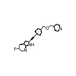 FC1C=c2cc(C#Cc3ccc(COCc4ccncc4)cc3)[nH]c2=NC1